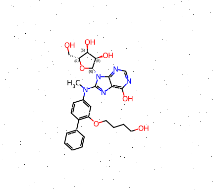 CN(c1ccc(-c2ccccc2)c(OCCCCO)c1)c1nc2c(O)ncnc2n1[C@@H]1O[C@H](CO)[C@@H](O)[C@H]1O